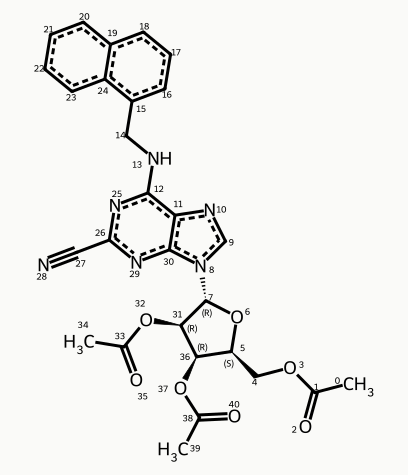 CC(=O)OC[C@@H]1O[C@@H](n2cnc3c(NCc4cccc5ccccc45)nc(C#N)nc32)[C@H](OC(C)=O)[C@@H]1OC(C)=O